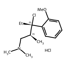 CC[C@@](Cl)(c1ccccc1OC)[C@@H](C)CN(C)C.Cl